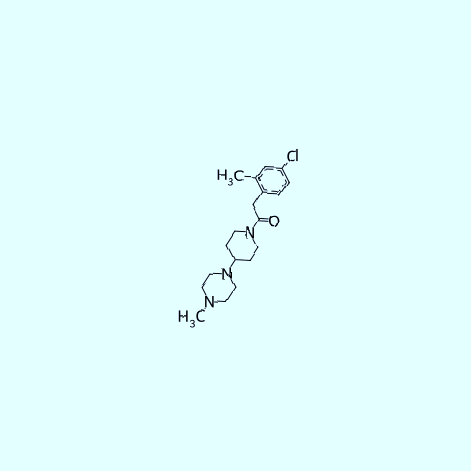 Cc1cc(Cl)ccc1CC(=O)N1CCC(N2CCN(C)CC2)CC1